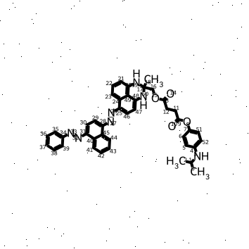 CC(C)Nc1ccc(OC(=O)CCC(=O)OCC2(C)Nc3cccc4c(/N=N/c5ccc(/N=N/c6ccccc6)c6ccccc56)ccc(c34)N2)cc1